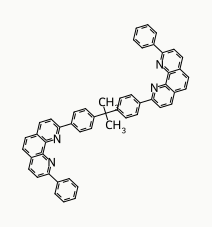 CC(C)(c1ccc(-c2ccc3ccc4ccc(-c5ccccc5)nc4c3n2)cc1)c1ccc(-c2ccc3ccc4ccc(-c5ccccc5)nc4c3n2)cc1